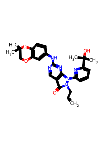 C=CCn1c(=O)c2cnc(Nc3ccc4c(c3)OCC(C)(C)O4)nc2n1-c1cccc(C(C)(C)O)n1